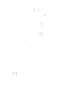 CN(CC(=O)O)c1cc(-c2ccccc2)c2cc(CCc3ccc4c(c3)CCCN4)ccc2n1